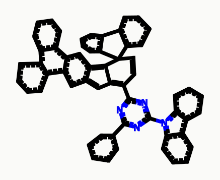 C1=CC2(C3=c4cc5c6ccccc6c6ccccc6c5cc4=CC3=C1c1nc(-c3ccccc3)nc(-n3c4ccccc4c4ccccc43)n1)c1ccccc1-c1ccccc12